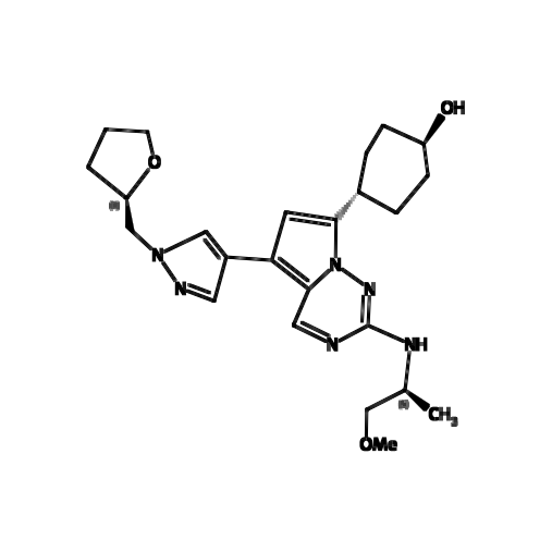 COC[C@H](C)Nc1ncc2c(-c3cnn(C[C@H]4CCCO4)c3)cc([C@H]3CC[C@H](O)CC3)n2n1